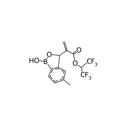 C=C(C(=O)OC(C(F)(F)F)C(F)(F)F)C1OB(O)c2ccc(C)cc21